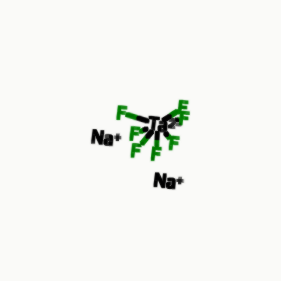 [F][Ta-2]([F])([F])([F])([F])([F])[F].[Na+].[Na+]